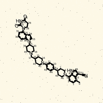 Cc1ccc(N2CCC(c3ccc(N4CCC(CN5CCC(n6ccc7c(N8CCC(=O)NC8=O)cccc76)CC5)CC4)cc3)CC2)c2[nH]cc(C#N)c12